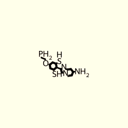 Nc1ccn2cc(-c3c(S)cc(OCCP)cc3S)nc2c1